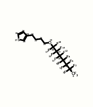 FC(F)(F)C(F)(F)C(F)(F)C(F)(F)C(F)(F)C(F)(F)C(F)(F)OCCCCc1ccsc1